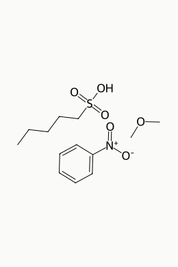 CCCCCS(=O)(=O)O.COC.O=[N+]([O-])c1ccccc1